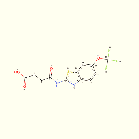 O=C(O)CCC(=O)Nc1nc2ccc(OC(F)(F)F)cc2s1